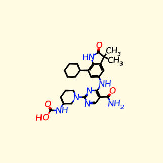 CC1(C)C(=O)Nc2c(C3CCCCC3)cc(Nc3nc(N4CCCC(NC(=O)O)C4)ncc3C(N)=O)cc21